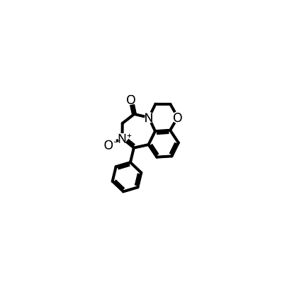 O=C1C[N+]([O-])=C(c2ccccc2)c2cccc3c2N1CCO3